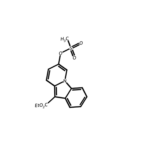 CCOC(=O)c1c2ccccc2n2cc(OS(C)(=O)=O)ccc12